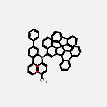 Cc1ccc(N(c2cc(-c3ccccc3)ccc2-c2ccccc2)c2cc3c(c4ccccc24)C2(c4ccccc4-c4ccccc42)c2c-3c3ccccc3c3ccccc23)cc1